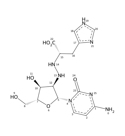 Nc1ccn([C@@H]2O[C@H](CO)[C@@H](O)[C@H]2NN[C@@H](Cc2c[nH]cn2)C(=O)O)c(=O)n1